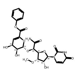 CO[C@H]1[C@@H](O)[C@H](n2ccc(=O)[nH]c2=O)O[C@@H]1[C@@H](O[C@H]1OC(C(=O)Oc2ccccc2)=C[C@H](O)[C@@H]1O)C(N)=O